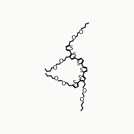 CCCCOCCOCCc1ccc(-c2sc(-c3ccc(-c4ccc(-c5cc(CCOCCOCCCC)c(-c6ccc(CCOCCOCCCC)s6)s5)s4)s3)cc2CCOCCOCCCC)s1